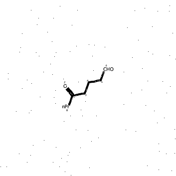 CCCC(=O)CCCC=O